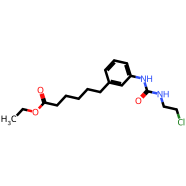 CCOC(=O)CCCCCc1cccc(NC(=O)NCCCl)c1